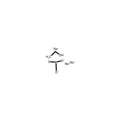 CCO.[Na+].[Na+].[Na+].[O-]B([O-])[O-]